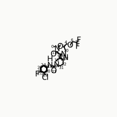 CN1OC(COCC(F)F)Cn2nc3c(c2C1=O)CN(C(=O)Nc1ccc(F)c(Cl)c1)CC3